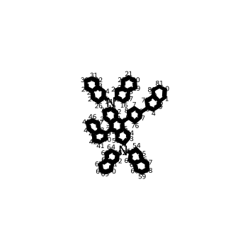 C1=Cc2ccc(-c3ccc(-c4c5cc(N(c6ccc7ccccc7c6)c6ccc7ccccc7c6)ccc5c(-c5cccc6ccccc56)c5cc(N(c6ccc7ccccc7c6)c6ccc7ccccc7c6)ccc45)cc3)cc2CC1